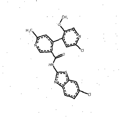 COc1cnc(Cl)cc1-c1cc(C)ncc1C(=O)Nc1nc2ccc(Cl)cc2s1